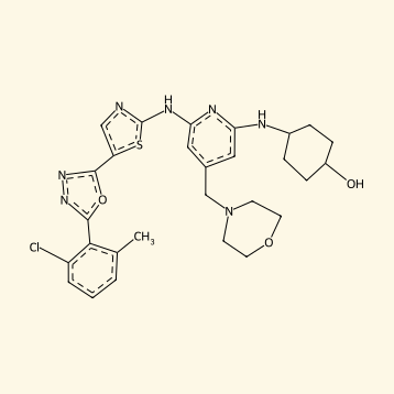 Cc1cccc(Cl)c1-c1nnc(-c2cnc(Nc3cc(CN4CCOCC4)cc(NC4CCC(O)CC4)n3)s2)o1